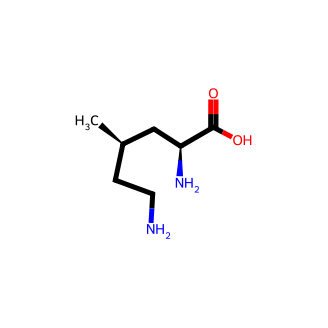 C[C@H](CCN)C[C@H](N)C(=O)O